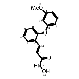 COc1cccc(Oc2ccccc2/C=C/C(=O)NO)c1